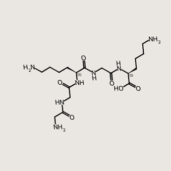 NCCCC[C@H](NC(=O)CNC(=O)[C@H](CCCCN)NC(=O)CNC(=O)CN)C(=O)O